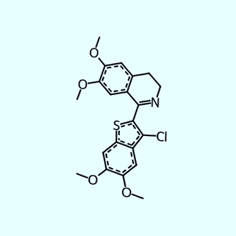 COc1cc2c(cc1OC)C(c1sc3cc(OC)c(OC)cc3c1Cl)=NCC2